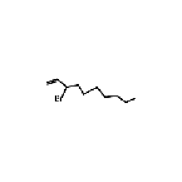 C=CC(Br)CCCCCCC